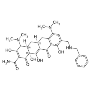 CN(C)c1cc(CNCc2ccccc2)c(O)c2c1C[C@@H]1C[C@@H]3C(N(C)C)C(O)=C(C(N)=O)C(=O)[C@]3(O)C(O)=C1C2=O